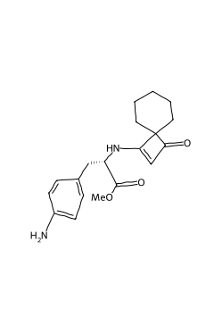 COC(=O)[C@H](Cc1ccc(N)cc1)NC1=CC(=O)C12CCCCC2